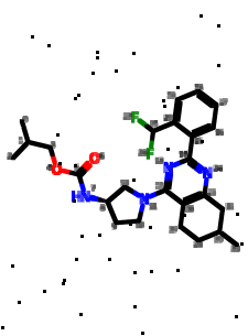 CC(C)COC(=O)N[C@@H]1CCN(c2nc(-c3ccccc3C(F)F)nc3c2CCC(C)C3)C1